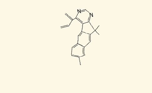 C=CC(=C)c1ncnc2c1-c1cc3ccc(C)cc3cc1C2(C)C